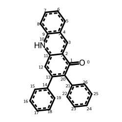 O=c1c2cc3ccccc3[nH]c-2cc(-c2ccccc2)c1-c1ccccc1